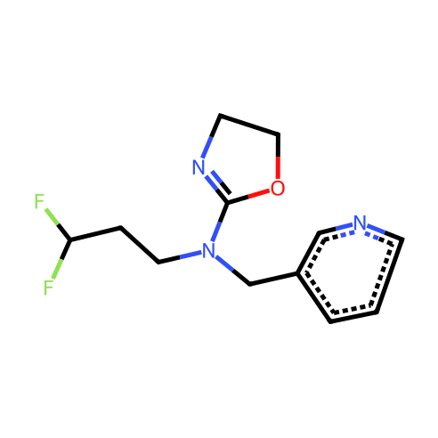 FC(F)CCN(Cc1cccnc1)C1=NCCO1